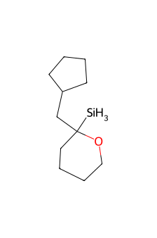 [SiH3]C1(CC2CCCC2)CCCCO1